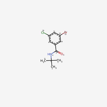 CC(C)(C)NC(=O)c1cc(Cl)cc(Br)c1